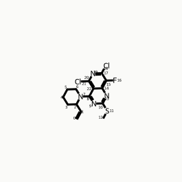 C=CC1CCCCN1c1nc(SC)nc2c(F)c(Cl)nc(Cl)c12